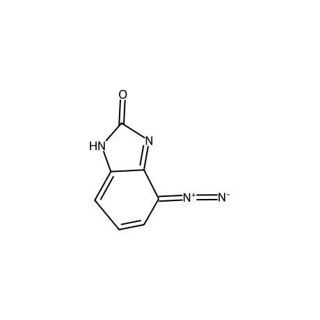 [N-]=[N+]=C1C=CC=C2NC(=O)N=C21